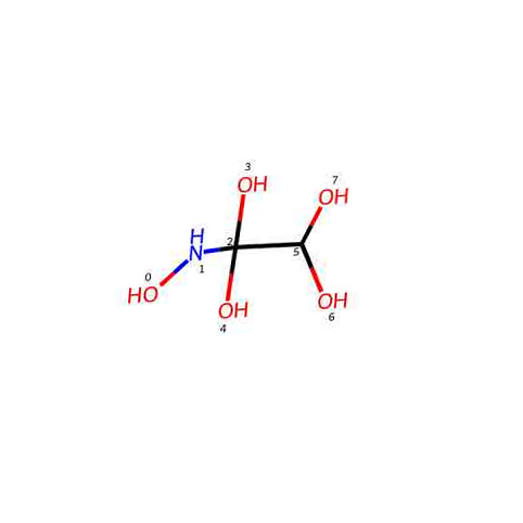 ONC(O)(O)C(O)O